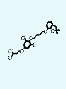 CC1(C)Cc2cccc(OCCCCOc3c(Cl)cc(OCC=C(Cl)Cl)cc3Cl)c2O1